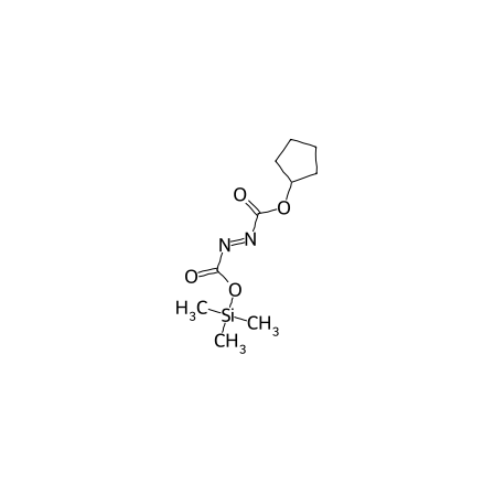 C[Si](C)(C)OC(=O)N=NC(=O)OC1CCCC1